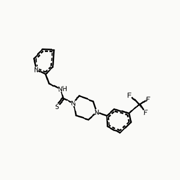 FC(F)(F)c1cccc(N2CCN(C(=S)NCc3ccccn3)CC2)c1